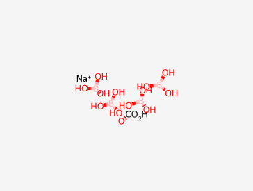 O=C([O-])O.OB(O)O.OB(O)O.OB(O)O.OB(O)O.[Na+]